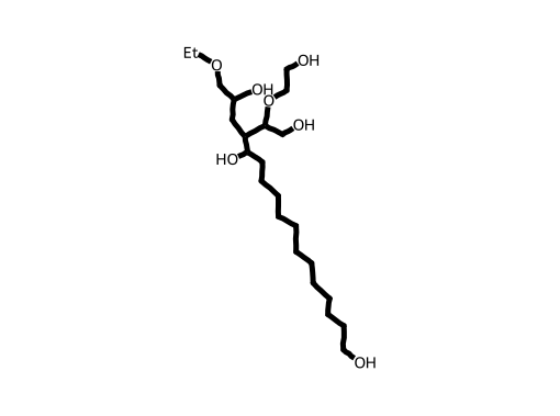 CCOCC(O)CC(C(O)CCCCCCCCCCCCO)C(CO)OCCO